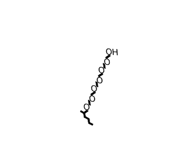 CCCCC(C)COCCOCCOCCOCCOCCOCCO